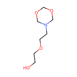 OCCOCCN1COCOC1